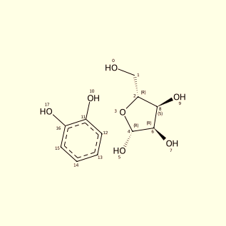 OC[C@H]1O[C@@H](O)[C@H](O)[C@@H]1O.Oc1ccccc1O